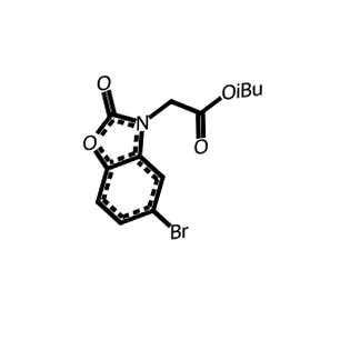 CC(C)COC(=O)Cn1c(=O)oc2ccc(Br)cc21